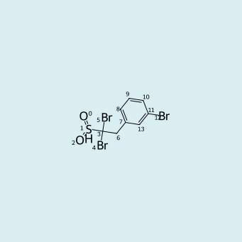 O=[SH](=O)C(Br)(Br)Cc1cccc(Br)c1